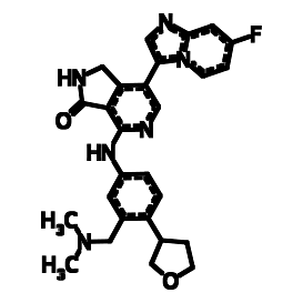 CN(C)Cc1cc(Nc2ncc(-c3cnc4cc(F)ccn34)c3c2C(=O)NC3)ccc1C1CCOC1